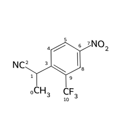 CC(C#N)c1ccc([N+](=O)[O-])cc1C(F)(F)F